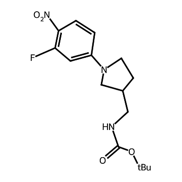 CC(C)(C)OC(=O)NCC1CCN(c2ccc([N+](=O)[O-])c(F)c2)C1